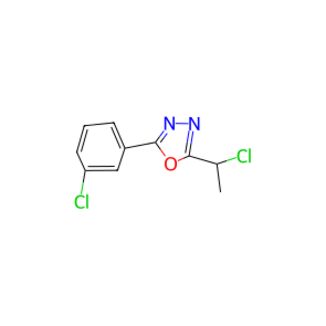 CC(Cl)c1nnc(-c2cccc(Cl)c2)o1